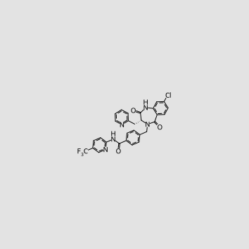 O=C(Nc1ccc(C(F)(F)F)cn1)c1ccc(CN2C(=O)c3ccc(Cl)cc3NC(=O)[C@H]2Cc2ccccn2)cc1